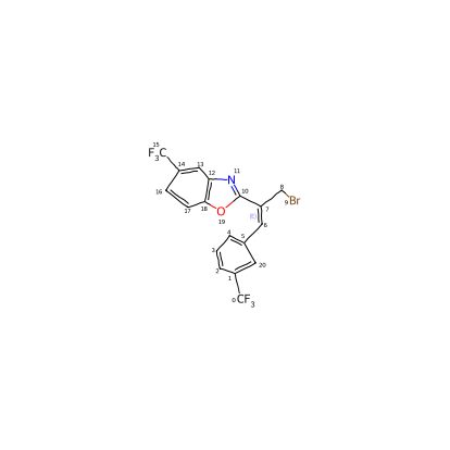 FC(F)(F)c1cccc(/C=C(/CBr)c2nc3cc(C(F)(F)F)ccc3o2)c1